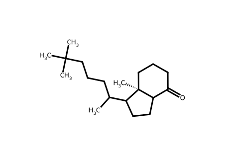 CC(CCCC(C)(C)C)C1CCC2C(=O)CCC[C@@]21C